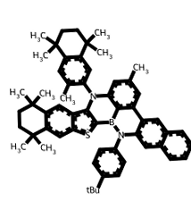 Cc1cc2c3c(c1)N(c1cc4c(cc1C)C(C)(C)CCC4(C)C)c1c(sc4cc5c(cc14)C(C)(C)CCC5(C)C)B3N(c1ccc(C(C)(C)C)cc1)c1cc3ccccc3cc1-2